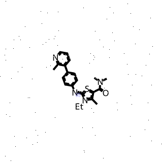 CCn1c(C)c(C(=O)N(C)C)s/c1=N\c1ccc(-c2cccnc2C)cc1